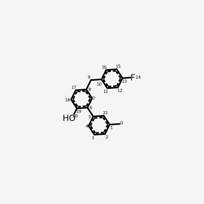 Cc1cccc(-c2cc(Cc3ccc(F)cc3)ccc2O)c1